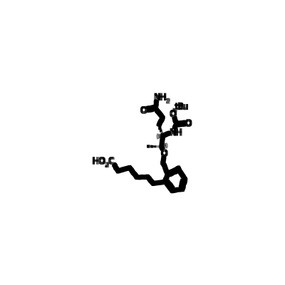 C[C@@H](OCc1ccccc1CCCCCC(=O)O)[C@H](CCC(N)=O)NC(=O)OC(C)(C)C